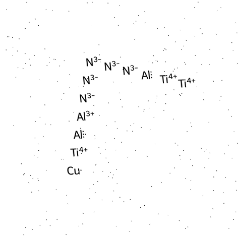 [Al+3].[Al].[Al].[Cu].[N-3].[N-3].[N-3].[N-3].[N-3].[Ti+4].[Ti+4].[Ti+4]